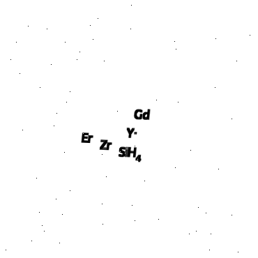 [Er].[Gd].[SiH4].[Y].[Zr]